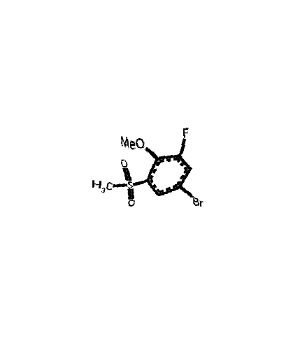 COc1c(F)cc(Br)cc1S(C)(=O)=O